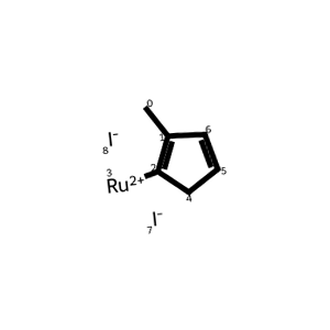 CC1=[C]([Ru+2])CC=C1.[I-].[I-]